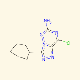 Nc1nc(Cl)c2nnc(C3CCCCC3)n2n1